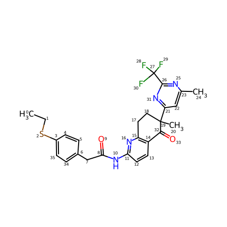 CCSc1ccc(CC(=O)Nc2ccc3c(n2)CCC(C)(c2cc(C)nc(C(F)(F)F)n2)C3=O)cc1